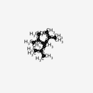 Cc1cc(C)cc(COc2cc(COc3ccc(C(C)(c4ccc(OCc5cc(OCc6cc(C)cc(C)c6)cc(OCc6cc(C)cc(C)c6)c5)cc4)c4ccc(OCc5cc(OCc6cc(C)cc(C)c6)cc(OCc6cc(C)cc(C)c6)c5)cc4)cc3)cc(OCc3cc(C)cc(C)c3)c2)c1